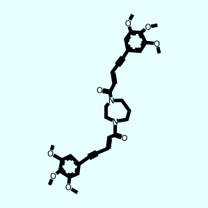 COc1cc(C#C/C=C/C(=O)N2CCCN(C(=O)/C=C/C#Cc3cc(OC)c(OC)c(OC)c3)CC2)cc(OC)c1OC